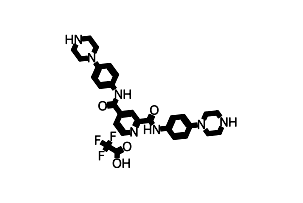 O=C(Nc1ccc(N2CCNCC2)cc1)c1ccnc(C(=O)Nc2ccc(N3CCNCC3)cc2)c1.O=C(O)C(F)(F)F